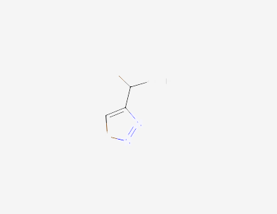 O=C(O)C(S)c1csnn1